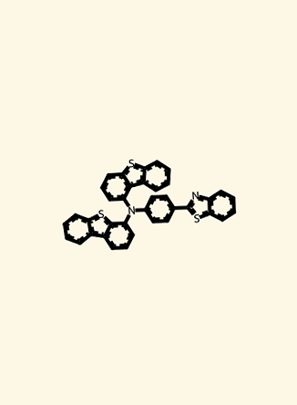 c1ccc2sc(-c3ccc(N(c4cccc5c4sc4ccccc45)c4cccc5sc6ccccc6c45)cc3)nc2c1